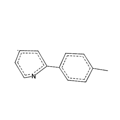 Cc1ccc(-c2c[c]ccn2)cc1